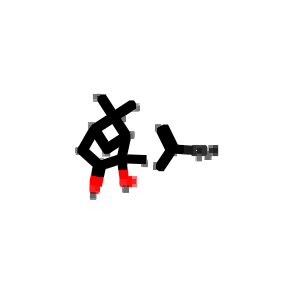 C=C(C)C(=O)O.CC1(O)C(=O)CC2CC1C2(C)C